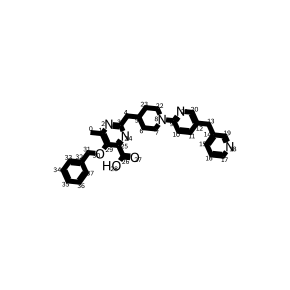 Cc1nc(CC2CCN(c3ccc(Cc4cccnc4)cn3)CC2)nc(C(=O)O)c1OCc1ccccc1